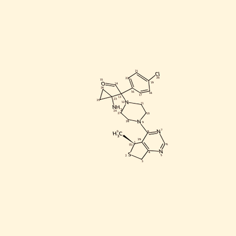 C[C@@H]1SCc2ncnc(N3CCN(C(C=O)(c4ccc(Cl)cc4)C4(N)CC4)CC3)c21